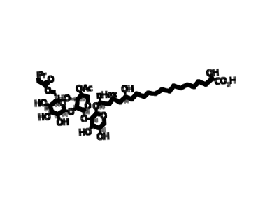 CCCCCC[C@H](CCC[C@H](O)CCCCCCCCCCCCC[C@H](O)C(=O)O)O[C@H]1OC[C@H](O)[C@@H](O)[C@@H]1O[C@H]1OC[C@H](OC(C)=O)[C@@H](O)[C@@H]1O[C@H]1O[C@@H](COC(=O)CC(C)C)[C@H](O)[C@@H](O)[C@@H]1O